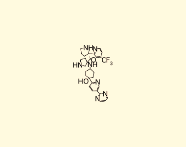 O=C([C@]1(NC2CCC(O)(c3ccc(-c4ncccn4)cn3)CC2)CCNC1)[C@]1(c2cc(C(F)(F)F)ccn2)CCCNC1